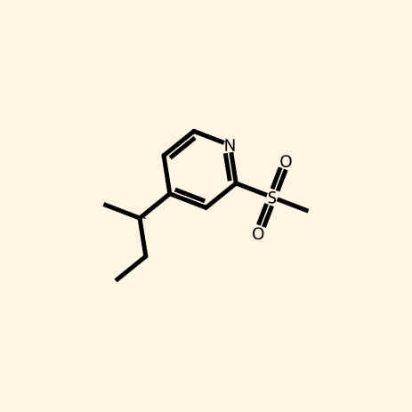 CC[C](C)c1ccnc(S(C)(=O)=O)c1